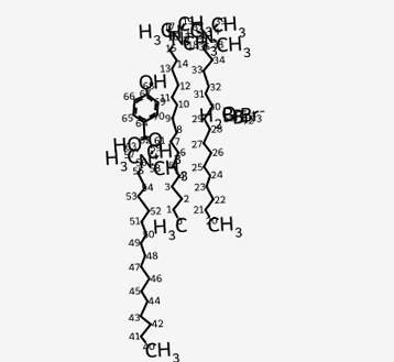 CCCCCCCCCCCCCCCC[N+](C)(C)C.CCCCCCCCCCCCCCCC[N+](C)(C)C.CCCCCCCCCCCCCCCC[N+](C)(C)C.O.O=C(O)c1ccc(O)cc1.[Br-].[Br-].[Br-]